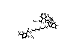 CC[C@H]1CN2CC[C@]3(C(=O)N(CCCCCCCCOC(=O)c4cc(CO)ccc4[N+](=O)[O-])c4ccccc43)[C@@H]2C[C@@H]1/C(=C\OC)C(=O)OC